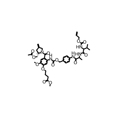 C=CCOC(=O)NC(C(=O)NC(C)C(=O)Nc1ccc(COC(=O)Nc2cc(OCCCC(=O)OC)c(OC)cc2C(=O)N2CC(=C)C[C@H]2COC(C)=O)cc1)C(C)C